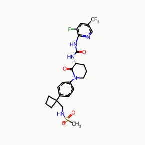 CS(=O)(=O)NCC1(c2ccc(N3CCC[C@@H](NC(=O)Nc4ncc(C(F)(F)F)cc4F)C3=O)cc2)CCC1